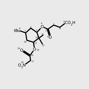 CC(C)(C)C1CC(OC(=O)CCC(=O)O)C(C)(C)C(OC(=O)C[N+](=O)[O-])C1